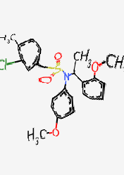 COc1ccc(N(C(C)c2ccccc2OC)S(=O)(=O)c2ccc(C)c(Cl)c2)cc1